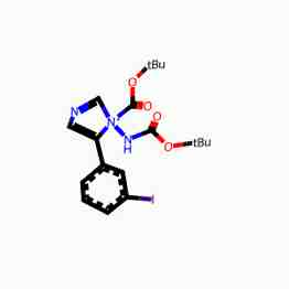 CC(C)(C)OC(=O)N[N+]1(C(=O)OC(C)(C)C)C=NC=C1c1cccc(I)c1